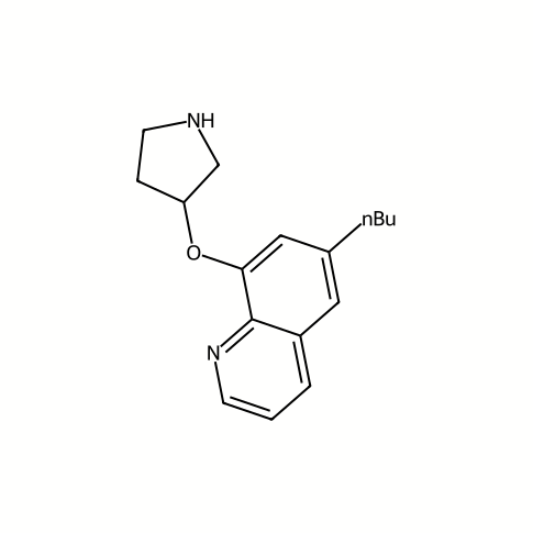 CCCCc1cc(OC2CCNC2)c2ncccc2c1